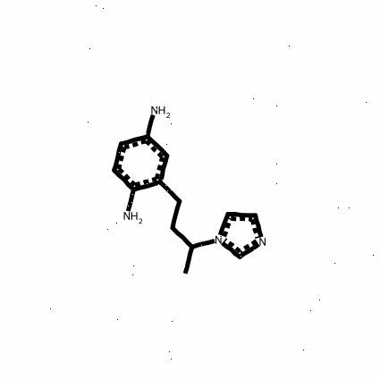 CC(CCc1cc(N)ccc1N)n1ccnc1